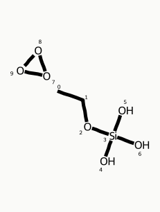 CCO[Si](O)(O)O.o1oo1